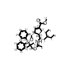 CCC(CC)C[C@H](NC(C)=O)[C@@H]1CC(C(=O)OC)=C[C@H]1CO[Si](c1ccccc1)(c1ccccc1)C(C)(C)C